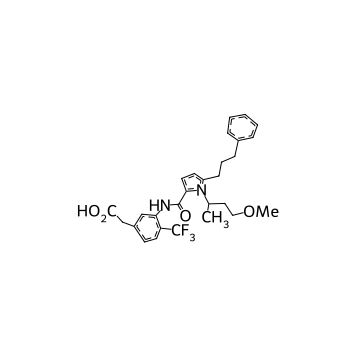 COCCC(C)n1c(CCCc2ccccc2)ccc1C(=O)Nc1cc(CC(=O)O)ccc1C(F)(F)F